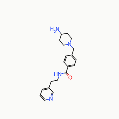 NC1CCN(Cc2ccc(C(=O)NCCc3cccnc3)cc2)CC1